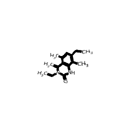 C=C1c2c(C)cc(CC)c(C)c2NC(=O)N1CC